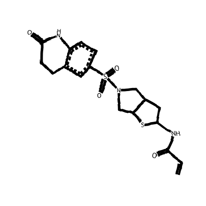 C=CC(=O)NC1CC2CN(S(=O)(=O)c3ccc4c(c3)CCC(=O)N4)CC2S1